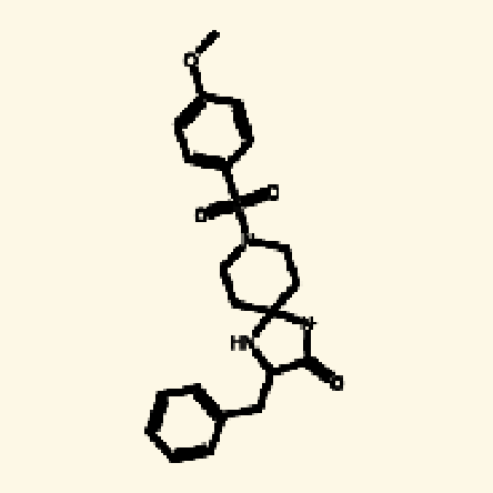 COc1ccc(S(=O)(=O)N2CCC3(CC2)[N]C(=O)C(Cc2ccccc2)N3)cc1